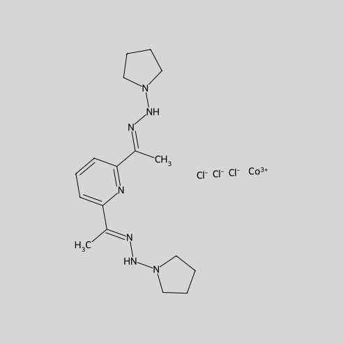 CC(=NNN1CCCC1)c1cccc(C(C)=NNN2CCCC2)n1.[Cl-].[Cl-].[Cl-].[Co+3]